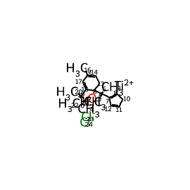 CCOC1(C(C)(C)C2=[C]([Ti+2])CC=C2)CC=C(C)C=C1C(C)(C)C.[Cl-].[Cl-]